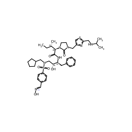 CC[C@H](C)[C@H](C(=O)N[C@@H](Cc1ccccc1)[C@H](O)CN(CC1CCCC1)S(=O)(=O)c1ccc(/C=N/O)cc1)N1CCN(Cc2csc(CNC(C)C)n2)C1=O